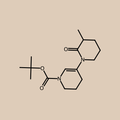 CC1CCCN(C2=CN(C(=O)OC(C)(C)C)CCC2)C1=O